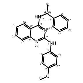 COc1ccc(Nc2nc(N[C@@H](C)c3ccccc3)c3ccccc3n2)cc1